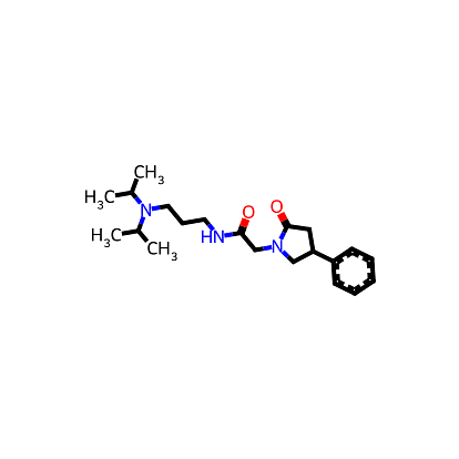 CC(C)N(CCCNC(=O)CN1CC(c2ccccc2)CC1=O)C(C)C